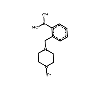 CC(C)N1CCN(Cc2ccccc2B(O)O)CC1